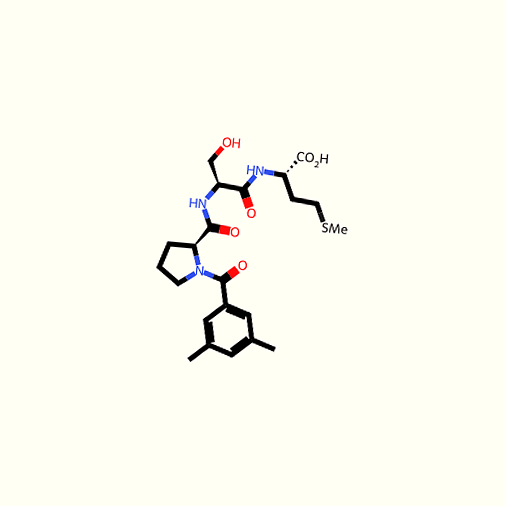 CSCC[C@H](NC(=O)[C@H](CO)NC(=O)[C@@H]1CCCN1C(=O)c1cc(C)cc(C)c1)C(=O)O